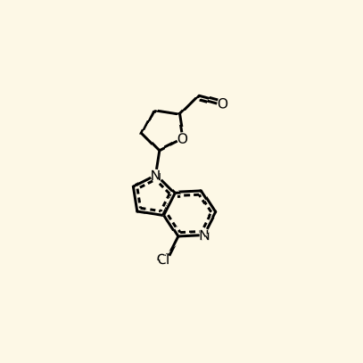 O=CC1CCC(n2ccc3c(Cl)nccc32)O1